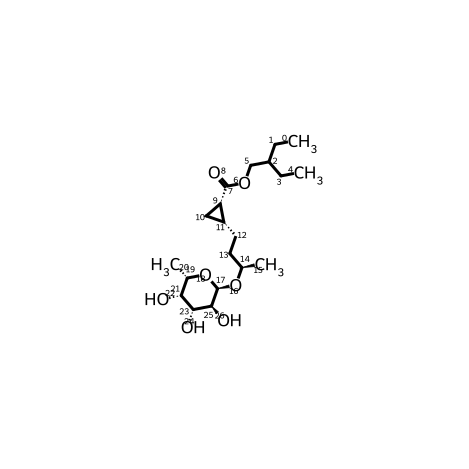 CCC(CC)COC(=O)[C@H]1C[C@H]1CC[C@@H](C)O[C@@H]1O[C@@H](C)[C@@H](O)[C@@H](O)[C@@H]1O